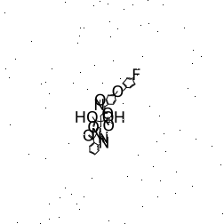 O=C(CC(CCn1nnc2ccccc2c1=O)(C(=O)O)C(=O)O)c1noc2cc(OCc3ccc(F)cc3)ccc12